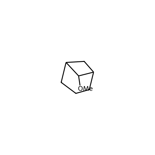 COC1C2CCCC1C2